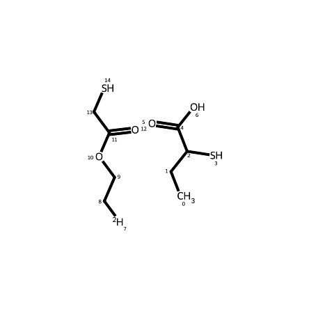 CCC(S)C(=O)O.[2H]CCOC(=O)CS